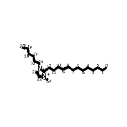 CCCCCCCCCCCCCc1n(CCCCCC)cc[n+]1C